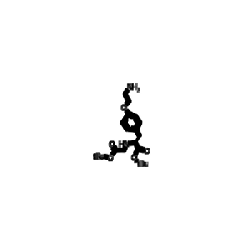 CC(C)(C)OC(=O)CN[C@@H](Cc1ccc(OCCN)cc1)C(=O)OC(C)(C)C